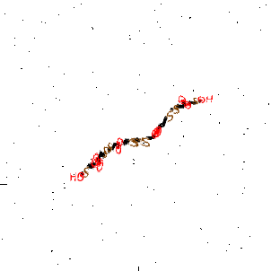 O=C(CCSCSCCCOOCCSCSCCOC(=O)CCSCSCCC(=O)OCCSCO)OCCSCO